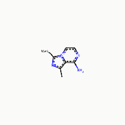 CSc1nc(C)c2c(N)nccn12